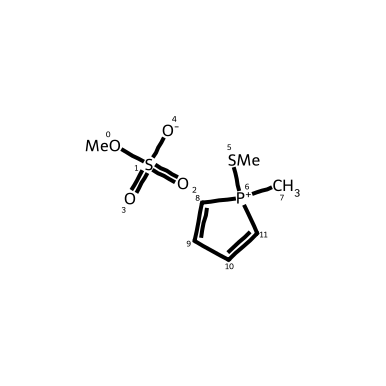 COS(=O)(=O)[O-].CS[P+]1(C)C=CC=C1